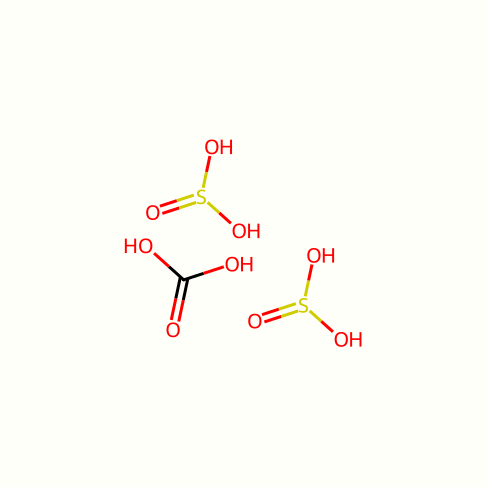 O=C(O)O.O=S(O)O.O=S(O)O